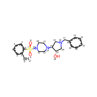 Bc1ccccc1S(=O)(=O)N1CCN([C@H]2CN(Cc3ccccc3)C[C@@H]2O)CC1